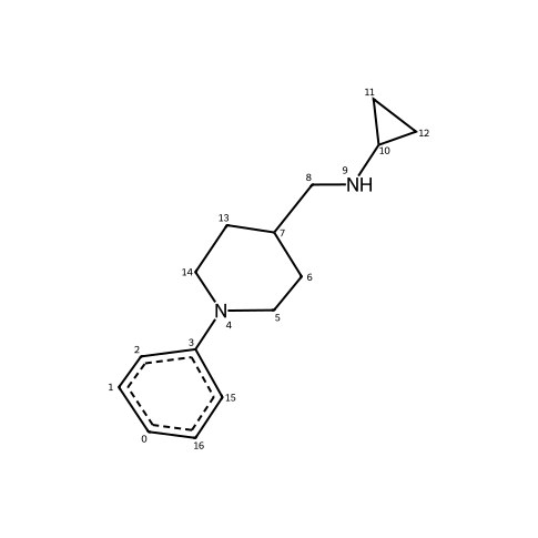 c1ccc(N2CCC(CNC3CC3)CC2)cc1